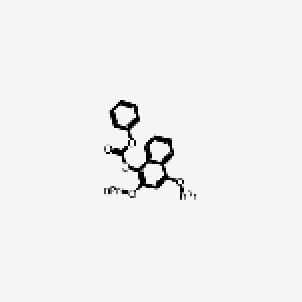 CCCOc1cc(OCCC)c2ccccc2c1OC(=O)Oc1ccccc1